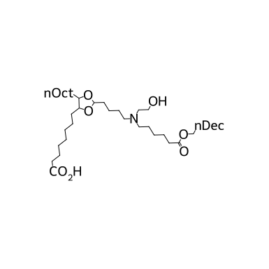 CCCCCCCCCCCOC(=O)CCCCCN(CCO)CCCCC1OC(CCCCCCCC)C(CCCCCCCC(=O)O)O1